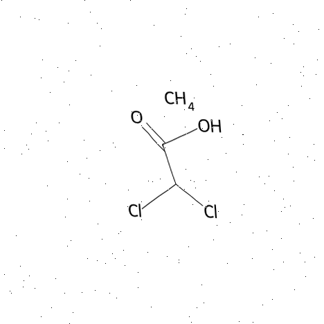 C.O=C(O)C(Cl)Cl